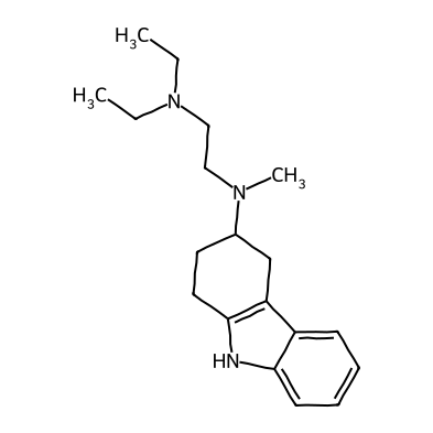 CCN(CC)CCN(C)C1CCc2[nH]c3ccccc3c2C1